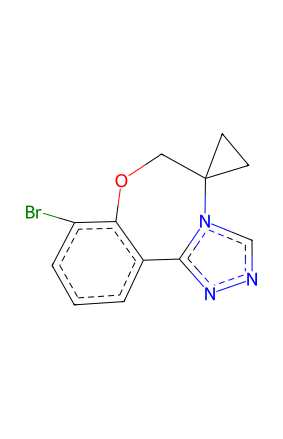 Brc1cccc2c1OCC1(CC1)n1cnnc1-2